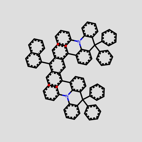 c1ccc(N2c3ccccc3C(c3ccccc3)(c3ccccc3)c3cccc(-c4cccc5c(-c6cccc7ccccc67)c6cccc(-c7cccc8c7N(c7ccccc7)c7ccccc7C8(c7ccccc7)c7ccccc7)c6cc45)c32)cc1